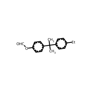 CCc1ccc(C(C)(C)c2ccc(OC=O)cc2)cc1